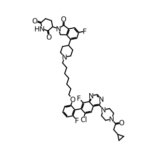 O=C1CCC(N2Cc3c(cc(F)cc3C3CCN(CCCCCCCOc4cccc(F)c4-c4c(Cl)cc5c(N6CCN(C(=O)CC7CC7)CC6)ncnc5c4F)CC3)C2=O)C(=O)N1